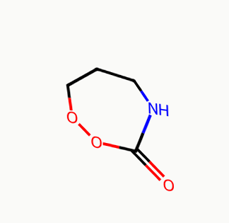 O=C1NCCCOO1